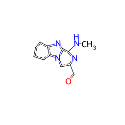 CNc1nc(C=O)cn2c1nc1ccccc12